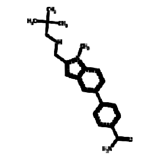 Cn1c(CNCC(C)(C)C)cc2cc(-c3ccc(C(N)=O)cc3)ccc21